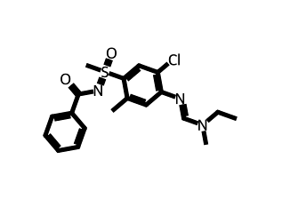 CCN(C)C=Nc1cc(C)c(S(C)(=O)=NC(=O)c2ccccc2)cc1Cl